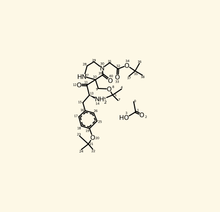 CC(=O)O.CC(C)(C)OCC1(C(=O)[C@@H](N)Cc2ccc(OC(C)(C)C)cc2)NCCN(CC(=O)OC(C)(C)C)C1=O